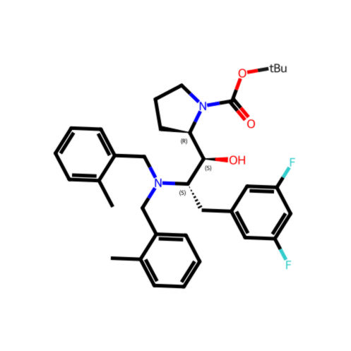 Cc1ccccc1CN(Cc1ccccc1C)[C@@H](Cc1cc(F)cc(F)c1)[C@H](O)[C@H]1CCCN1C(=O)OC(C)(C)C